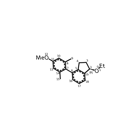 CCO[C@@H]1CCc2c(-c3c(C)cc(OC)cc3C)cccc21